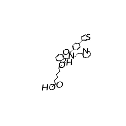 [2H]C(c1ccccc1OCCCCCC(=O)O)N(CCc1ccccn1)C(=O)c1ccc(-c2ccsc2)cc1